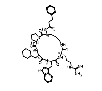 N=C(N)NCCC[C@@H]1NC(=O)C(Cc2c[nH]c3ccccc23)NC(=O)[C@@H](CC2CCCCC2)NC(=O)[C@@H]2CCCN2C(=O)[C@@H](NC(=O)CCc2ccccc2)CCCNC1=O